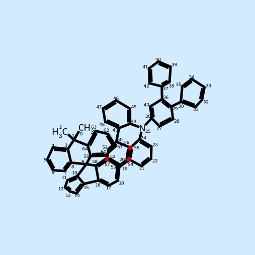 CC1(C)c2ccccc2C2(c3ccccc3-c3ccc(-c4cccc(N(c5ccc(-c6ccccc6)c(-c6ccccc6)c5)c5ccccc5-c5ccccc5)c4)cc32)c2ccccc21